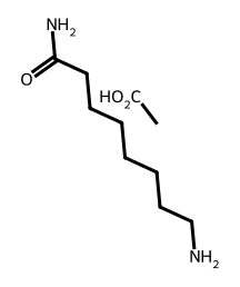 CC(=O)O.NCCCCCCCC(N)=O